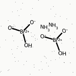 N.N.[O-][Br+2]([O-])O.[O-][Br+2]([O-])O